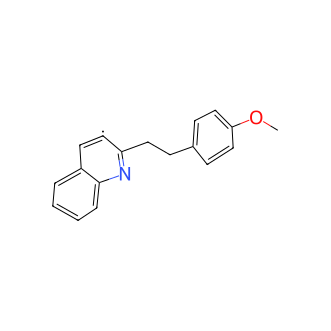 COc1ccc(CCc2[c]cc3ccccc3n2)cc1